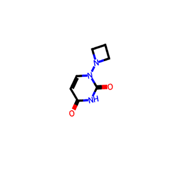 O=c1ccn(N2CCC2)c(=O)[nH]1